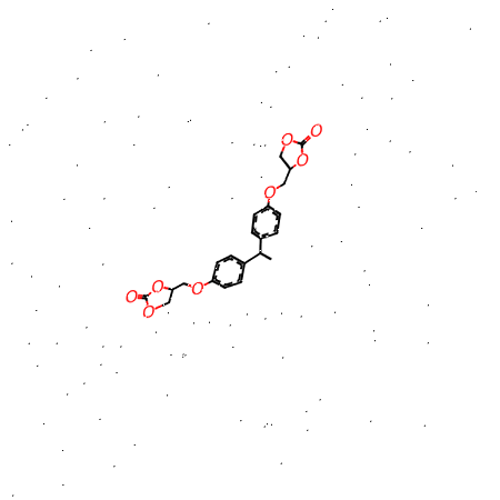 CC(c1ccc(OCC2COC(=O)O2)cc1)c1ccc(OCC2COC(=O)O2)cc1